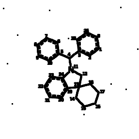 c1ccc(C(c2ccccc2)N2CC3(CCCCC3)c3ccccc32)cc1